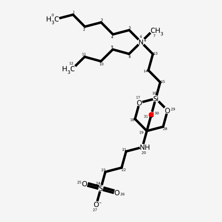 CCCCCC[N+](C)(CCCCC)CCC[Si]12OCC(NCCCS(=O)(=O)[O-])(CO1)CO2